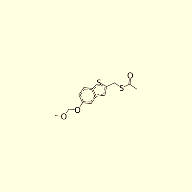 COCOc1ccc2sc(CSC(C)=O)cc2c1